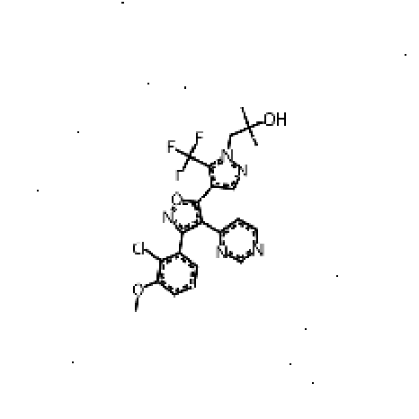 COc1cccc(-c2noc(-c3cnn(CC(C)(C)O)c3C(F)(F)F)c2-c2ccncn2)c1Cl